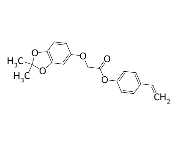 C=Cc1ccc(OC(=O)COc2ccc3c(c2)OC(C)(C)O3)cc1